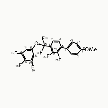 COc1ccc(-c2ccc(C(F)(F)Oc3cc(F)c(F)c(F)c3)c(F)c2F)cc1